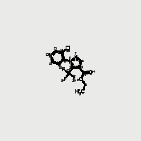 CCOC(=O)c1cnn(-c2ccncc2Cl)c1C(F)(F)F